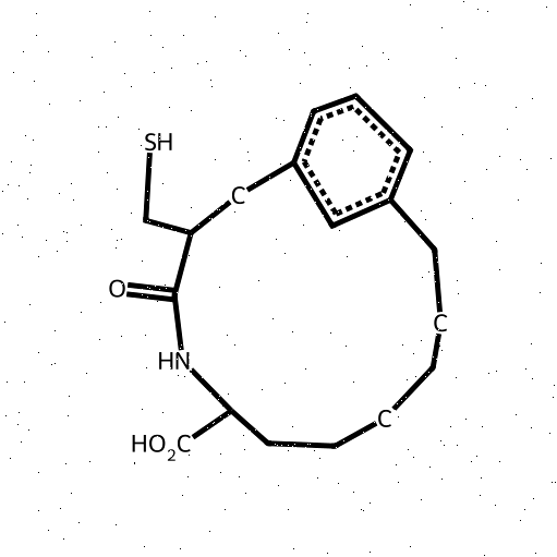 O=C1NC(C(=O)O)CCCCCCc2cccc(c2)CC1CS